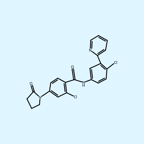 O=C(Nc1ccc(Cl)c(-c2ccccn2)c1)c1ccc(N2CCCC2=O)cc1Cl